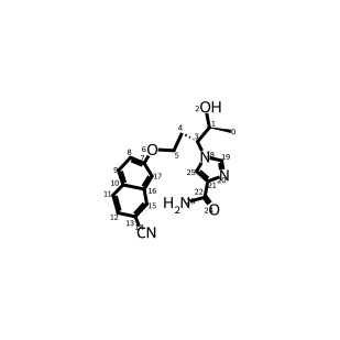 C[C@H](O)[C@@H](CCOc1ccc2ccc(C#N)cc2c1)n1cnc(C(N)=O)c1